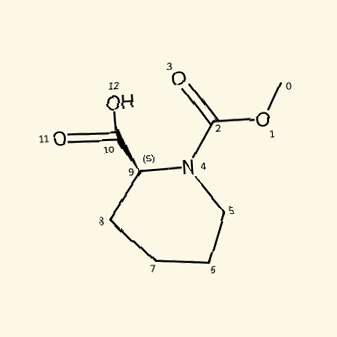 COC(=O)N1CCCC[C@H]1C(=O)O